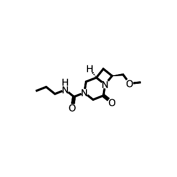 CCCNC(=O)N1CC(=O)N2[C@H](COC)C[C@@H]2C1